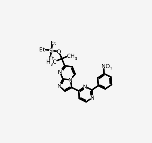 CC[Si](CC)(CC)OC(C)(C)c1ccn2c(-c3ccnc(-c4cccc([N+](=O)[O-])c4)n3)cnc2n1